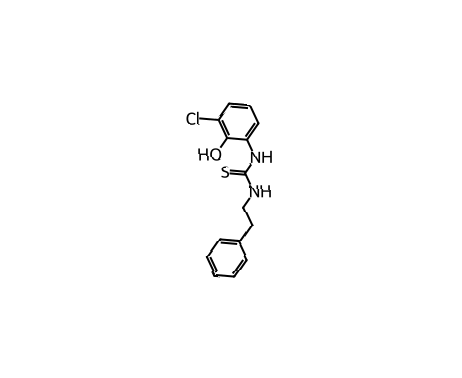 Oc1c(Cl)cccc1NC(=S)NCCc1ccccc1